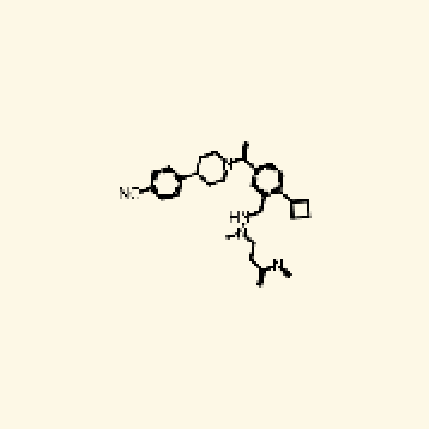 C=NC(=C)CCN(C)NCc1cc(C(=C)N2CCC(c3ccc(C#N)cc3)CC2)ccc1C1CCC1